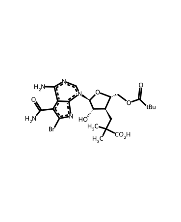 CC(C)(C)C(=O)OC[C@H]1O[C@H](n2cnc(N)c3c(C(N)=O)c(Br)nc2-3)[C@@H](O)[C@@H]1CC(C)(C)C(=O)O